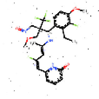 CCc1c([C@H](N/C(C)=C/C(F)=C\c2cccc(=O)[nH]2)[C@](CN=O)(COC)C(F)(F)F)ccc(OC)c1F